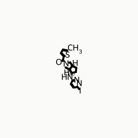 Cc1ccc(C(=O)N2C[C@@H]3CC[C@@H](Nc4ccc(I)nn4)[C@@H]3C2)s1